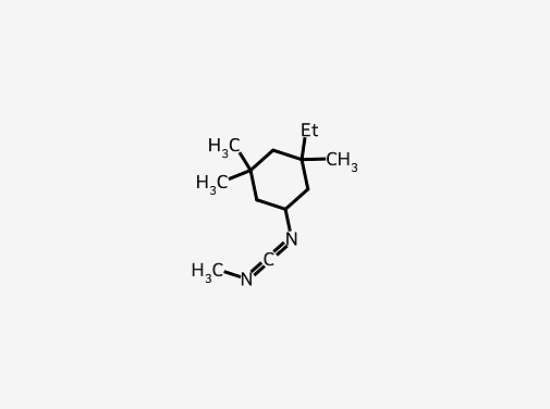 CCC1(C)CC(N=C=NC)CC(C)(C)C1